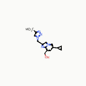 O=C(O)c1cn(Cc2cn3cc(C4CC4)cc(CO)c3n2)nn1